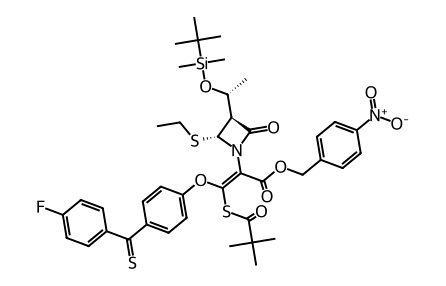 CCS[C@@H]1[C@@H]([C@@H](C)O[Si](C)(C)C(C)(C)C)C(=O)N1C(C(=O)OCc1ccc([N+](=O)[O-])cc1)=C(Oc1ccc(C(=S)c2ccc(F)cc2)cc1)SC(=O)C(C)(C)C